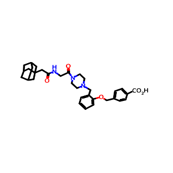 O=C(CC12CC3CC(CC(C3)C1)C2)NCC(=O)N1CCN(Cc2ccccc2OCc2ccc(C(=O)O)cc2)CC1